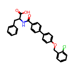 O=C(NC(Cc1ccccc1)C(=O)O)c1ccc(-c2ccc(OCc3ccccc3Cl)cc2)cc1